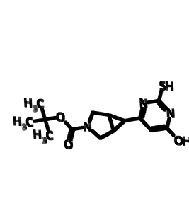 CC(C)(C)OC(=O)N1CC2C(C1)C2c1cc(O)nc(S)n1